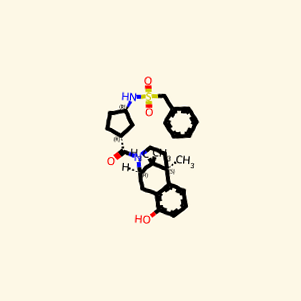 CC1(C)[C@H]2Cc3c(O)cccc3[C@]1(C)CCN2C(=O)[C@@H]1CC[C@@H](NS(=O)(=O)Cc2ccccc2)C1